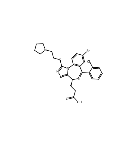 O=C(O)CC[C@@H]1N=C(c2ccccc2Cl)c2cc(Br)ccc2-n2c(SCCN3CCCC3)nnc21